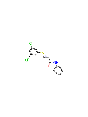 O=C(/C=C/Sc1cc(Cl)cc(Cl)c1)Nc1ccccc1